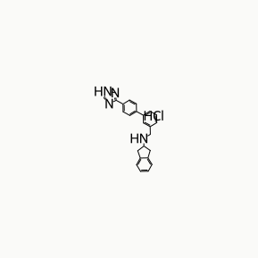 Cl.c1cc(CNC2Cc3ccccc3C2)cc(-c2ccc(-c3nc[nH]n3)cc2)c1